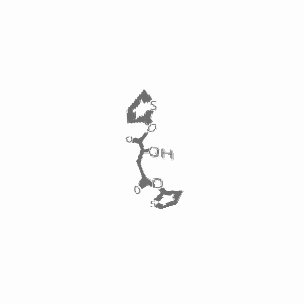 O=C(CC(O)C(=O)Oc1cccs1)Oc1cccs1